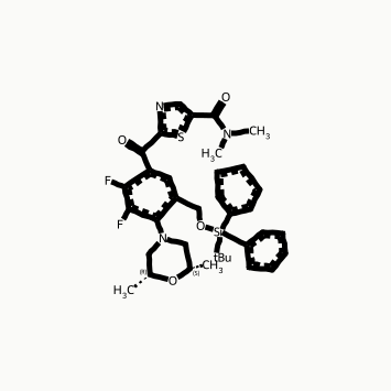 C[C@@H]1CN(c2c(CO[Si](c3ccccc3)(c3ccccc3)C(C)(C)C)cc(C(=O)c3ncc(C(=O)N(C)C)s3)c(F)c2F)C[C@H](C)O1